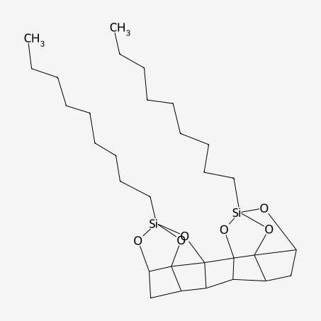 CCCCCCCCC[Si]12OC3CC4C5C6C7CC8O[Si]9(CCCCCCCCC)OC87C6(O9)C5(O1)C34O2